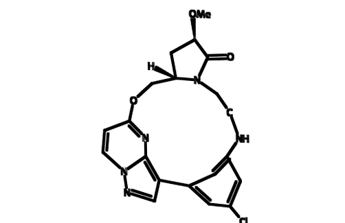 CO[C@@H]1C[C@H]2COc3ccn4ncc(c4n3)-c3cc(Cl)cc(c3)NCCN2C1=O